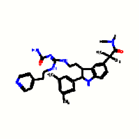 CCN(CC)C(=O)C(C)(C)c1ccc2c(c1)C(CCN/C(=N/C(N)=O)NCCc1ccncc1)C(c1cc(C)cc(C)c1)N2